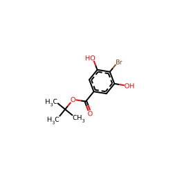 CC(C)(C)OC(=O)c1cc(O)c(Br)c(O)c1